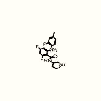 Cc1ccc(Nc2cc(F)cc(F)c2C(=O)NC2CCCNC2)c(F)c1